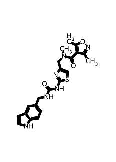 Cc1noc(C)c1C(=O)N(C)Cc1csc(NC(=O)NCc2ccc3[nH]ccc3c2)n1